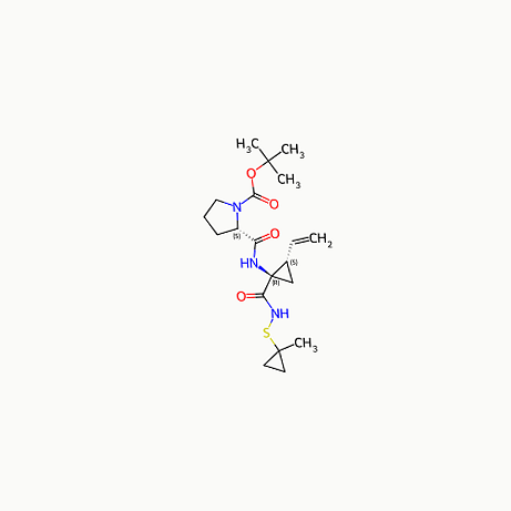 C=C[C@@H]1C[C@]1(NC(=O)[C@@H]1CCCN1C(=O)OC(C)(C)C)C(=O)NSC1(C)CC1